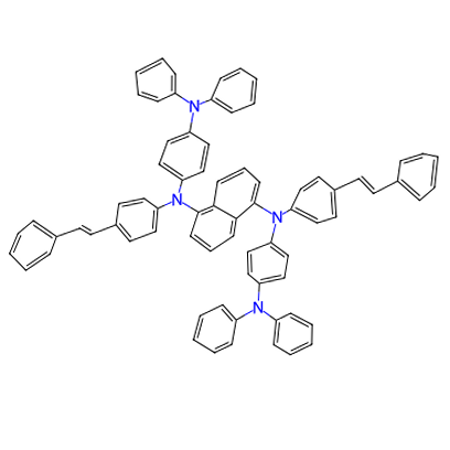 C(=Cc1ccc(N(c2ccc(N(c3ccccc3)c3ccccc3)cc2)c2cccc3c(N(c4ccc(C=Cc5ccccc5)cc4)c4ccc(N(c5ccccc5)c5ccccc5)cc4)cccc23)cc1)c1ccccc1